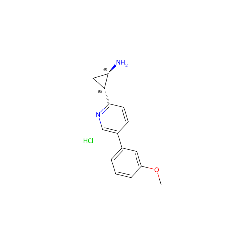 COc1cccc(-c2ccc([C@@H]3C[C@H]3N)nc2)c1.Cl